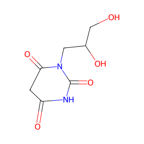 O=C1CC(=O)N(CC(O)CO)C(=O)N1